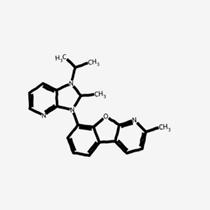 Cc1ccc2c(n1)oc1c(N3c4ncccc4N(C(C)C)C3C)cccc12